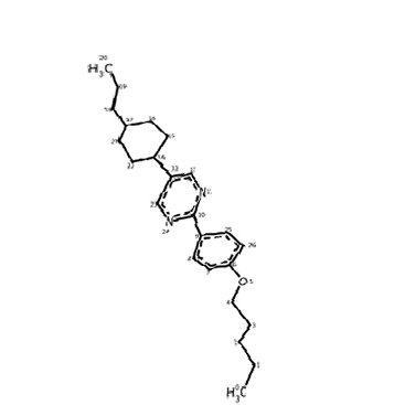 CCCCCOc1ccc(-c2ncc(C3CCC(CCC)CC3)cn2)cc1